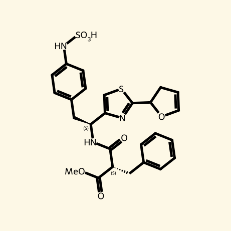 COC(=O)[C@@H](Cc1ccccc1)C(=O)N[C@@H](Cc1ccc(NS(=O)(=O)O)cc1)c1csc(C2CC=CO2)n1